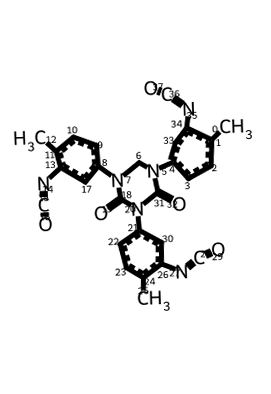 Cc1ccc(N2CN(c3ccc(C)c(N=C=O)c3)C(=O)N(c3ccc(C)c(N=C=O)c3)C2=O)cc1N=C=O